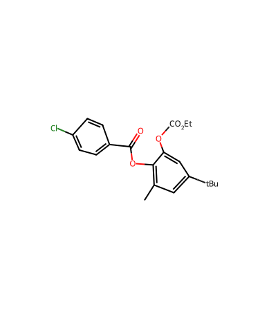 CCOC(=O)Oc1cc(C(C)(C)C)cc(C)c1OC(=O)c1ccc(Cl)cc1